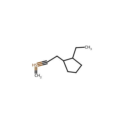 C=[SH]#CCC1CCCC1CC